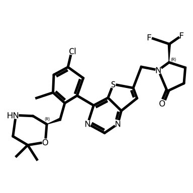 Cc1cc(Cl)cc(-c2ncnc3cc(CN4C(=O)CC[C@@H]4C(F)F)sc23)c1C[C@@H]1CNCC(C)(C)O1